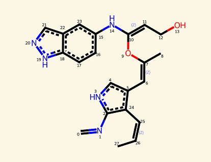 C=Nc1[nH]cc(/C=C(/C)O/C(=C\CO)Nc2ccc3[nH]ncc3c2)c1/C=C\C